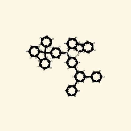 c1ccc(-c2cc(-c3ccccc3)cc(-c3ccc(N(c4ccc(C5(c6ccccc6)c6ccccc6-c6ccccc65)cc4)c4cccc5c4sc4ccccc45)cc3)c2)cc1